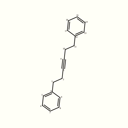 C(#CCCc1ccccc1)CCc1ccccc1